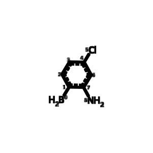 Bc1ccc(Cl)cc1N